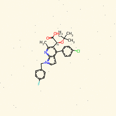 Cc1nc2c(ccn2Cc2ccc(F)cc2)c(-c2ccc(Cl)cc2)c1[C@H](OC(C)(C)C)C(=O)O